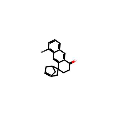 CCc1cccc2cc3c(cc12)C1(CCC3=O)CC2=CCC1C2